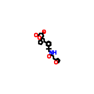 CC(C)(CNC(=O)CCc1ccco1)c1cccc(CCC2(C3CCCC3)CC(=O)CC(=O)O2)c1